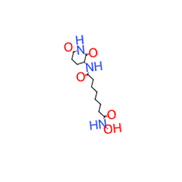 O=C(CCCCCCC(=O)NC1CCC(=O)NC1=O)NO